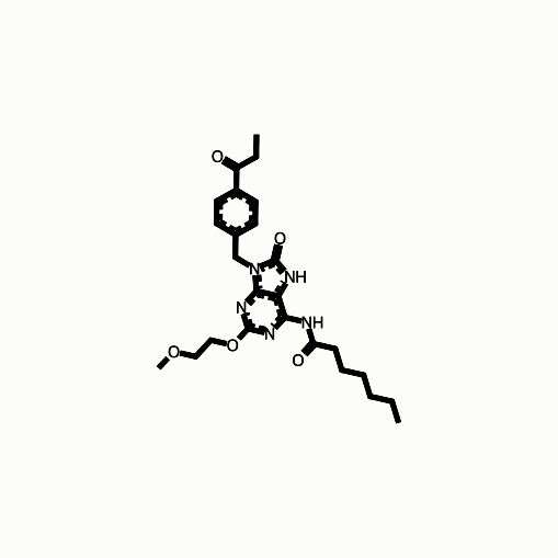 CCCCCCC(=O)Nc1nc(OCCOC)nc2c1[nH]c(=O)n2Cc1ccc(C(=O)CC)cc1